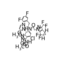 CN1N=C(NS(C)(=O)=O)C2=C(Cl)C=C[C@@H](n3c([C@@H](Cc4cc(F)cc(F)c4)NC(=O)Cn4nc(C(F)F)c5c4C(F)(F)[C@@H]4C[C@H]54)nccc3=O)C21